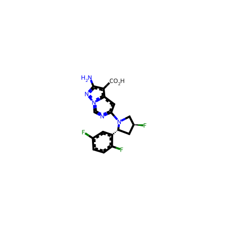 Nc1nn2cnc(N3C[C@@H](F)C[C@@H]3c3cc(F)ccc3F)cc2c1C(=O)O